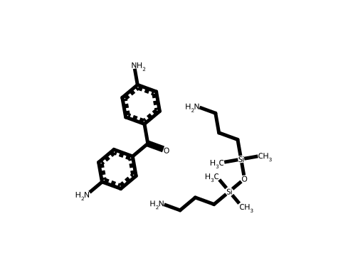 C[Si](C)(CCCN)O[Si](C)(C)CCCN.Nc1ccc(C(=O)c2ccc(N)cc2)cc1